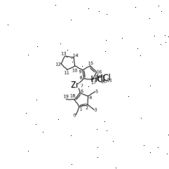 CC1=C(C)C(C)[C]([Zr][C]2=C(C3CCCC3)C=CC2)=C1C.Cl.Cl